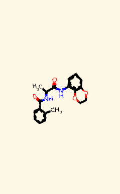 Cc1ccccc1C(=O)NC(C)C(=O)Nc1cccc2c1OCCO2